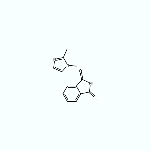 Cc1nccn1C.O=C1NC(=O)c2ccccc21